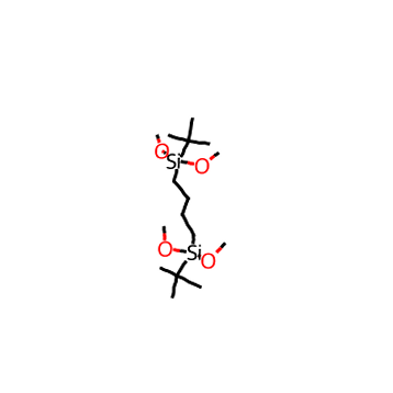 CO[Si](CCCC[Si](OC)(OC)C(C)(C)C)(OC)C(C)(C)C